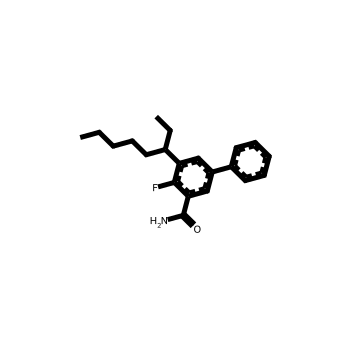 CCCCCC(CC)c1cc(-c2ccccc2)cc(C(N)=O)c1F